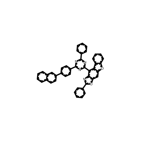 c1ccc(-c2nc(-c3ccc(-c4ccc5ccccc5c4)cc3)nc(-c3c4nc(-c5ccccc5)oc4cc4oc5ccccc5c34)n2)cc1